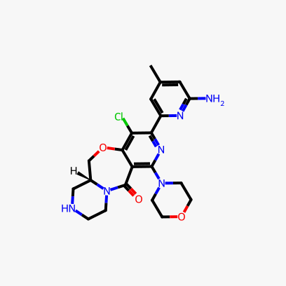 Cc1cc(N)nc(-c2nc(N3CCOCC3)c3c(c2Cl)OC[C@H]2CNCCN2C3=O)c1